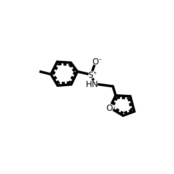 Cc1ccc([S+]([O-])NCc2ccco2)cc1